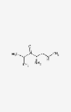 CNC[C@@H](N)C(=O)C(C)C